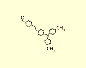 Cc1ccc(N(c2ccc(C)cc2)c2ccc(C=Cc3ccc(C=O)cc3)cc2)cc1